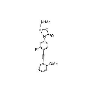 COc1ccncc1C#Cc1ccc(N2C[C@H](CNC(C)=O)OC2=O)cc1F